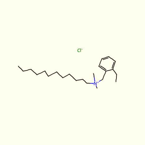 CCCCCCCCCCCC[N+](C)(C)Cc1ccccc1CC.[Cl-]